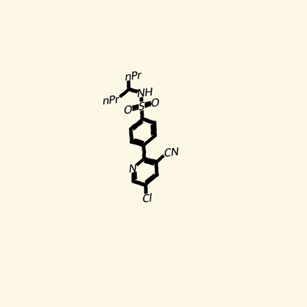 CCCC(CCC)NS(=O)(=O)c1ccc(-c2ncc(Cl)cc2C#N)cc1